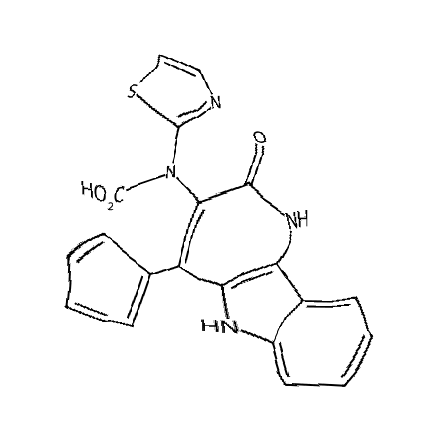 O=C(O)N(c1nccs1)c1c(-c2ccccc2)c2[nH]c3ccccc3c2[nH]c1=O